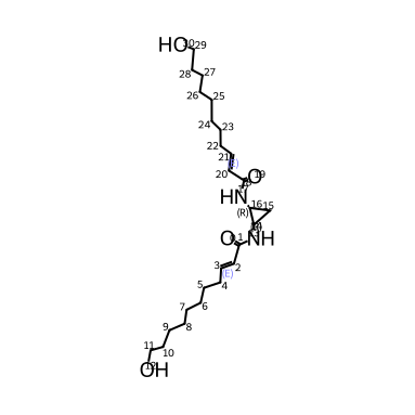 O=C(/C=C/CCCCCCCCO)N[C@@H]1C[C@H]1NC(=O)/C=C/CCCCCCCCO